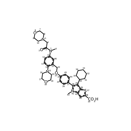 CN(C(=O)CN1CCOCC1)c1ccc(N2CCOCC2)c(COc2ccc(-c3c(C4CCCCC4)c4sc(C(=O)O)cc4n3C)cc2)c1